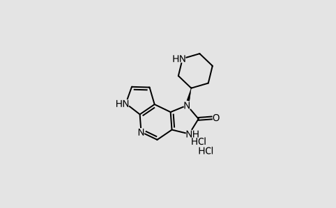 Cl.Cl.O=c1[nH]c2cnc3[nH]ccc3c2n1[C@@H]1CCCNC1